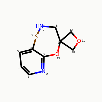 c1cnc2c(c1)SNCC1(COC1)O2